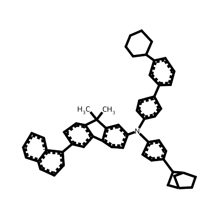 CC1(C)c2ccc(-c3cccc4ccccc34)cc2-c2ccc(N(c3ccc(-c4cccc(C5CCCCC5)c4)cc3)c3ccc(C4CC5CCC4C5)cc3)cc21